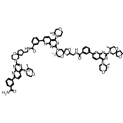 C[C@H]1COC2(CCOC2)CN1c1nc(N2CCOC[C@@H]2C)c2ccc(-c3cccc(C(=O)NCC4C[C@@]5(CO4)CN(c4nc(N6CCOC[C@@H]6C)c6ccc(-c7cccc(C(=O)NCC8CCC9(C8)CN(c8nc(N%10CCOC[C@@H]%10C)c%10ccc(-c%11cccc(C(N)=O)c%11)nc%10n8)CCO9)c7)nc6n4)[C@@H](C)CO5)c3)nc2n1